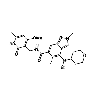 CCN(c1c(C)c(C(=O)NCc2c(OC)cc(C)[nH]c2=O)cc2nn(C)cc12)C1CCOCC1